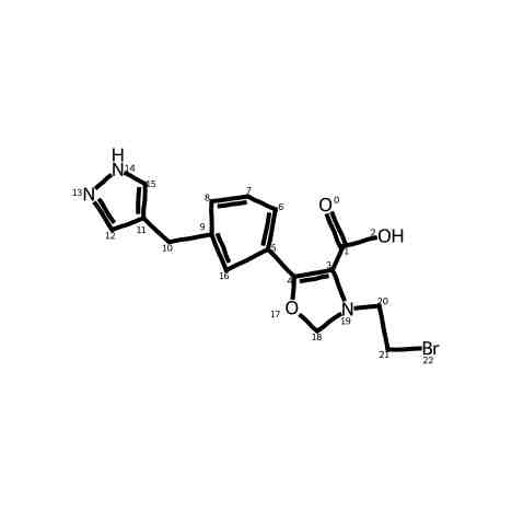 O=C(O)C1=C(c2cccc(Cc3cn[nH]c3)c2)OCN1CCBr